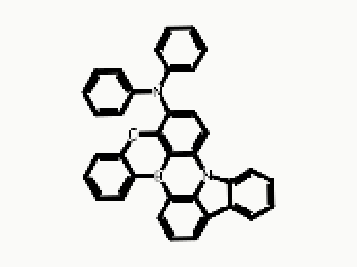 c1ccc(N(c2ccccc2)c2ccc3c4c2Oc2ccccc2B4c2cccc4c5ccccc5n-3c24)cc1